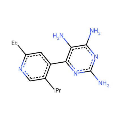 CCc1cc(-c2nc(N)nc(N)c2N)c(C(C)C)cn1